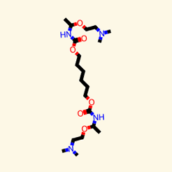 CC(NC(=O)OCCCCCCOC(=O)NC(C)OCCN(C)C)OCCN(C)C